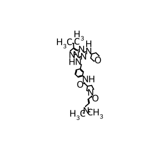 CC(C)c1cnn2c(NCc3cccc(NC(=O)C4CCN(C(=O)C=CCN(C)C)C4)c3)nc(NC3CCOCC3)nc12